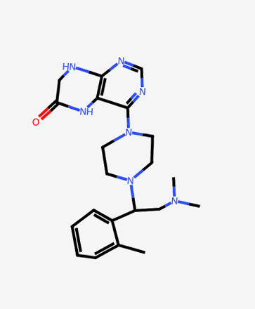 Cc1ccccc1C(CN(C)C)N1CCN(c2ncnc3c2NC(=O)CN3)CC1